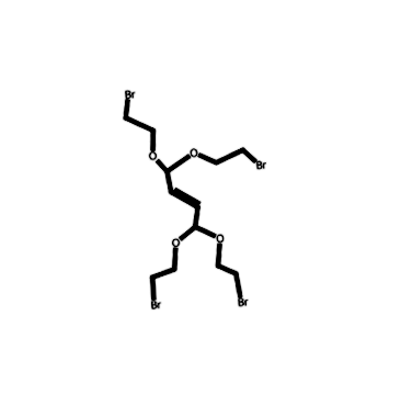 BrCCOC(C=CC(OCCBr)OCCBr)OCCBr